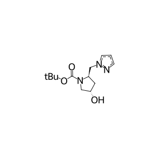 CC(C)(C)OC(=O)N1C[C@@H](O)C[C@@H]1Cn1cccn1